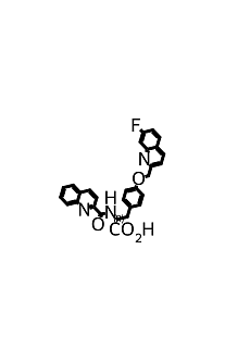 O=C(N[C@H](Cc1ccc(OCc2ccc3ccc(F)cc3n2)cc1)C(=O)O)c1ccc2ccccc2n1